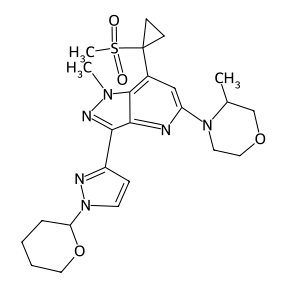 CC1COCCN1c1cc(C2(S(C)(=O)=O)CC2)c2c(n1)c(-c1ccn(C3CCCCO3)n1)nn2C